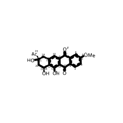 COc1ccc2c(c1)C(=O)c1cc3c(c(O)c1C2=O)[C@@H](O)C[C@@](O)(C(C)=O)C3